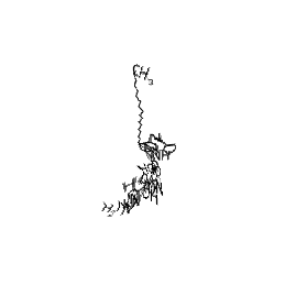 CCCCCCCCCCCCCCCCCCOC[C@H](COP(=O)(O)OC[C@@H](OC#N)[C@@H](O)[C@@H](O)c1ccc2c(N)ncnn12)NC(=O)c1ccccc1C#N